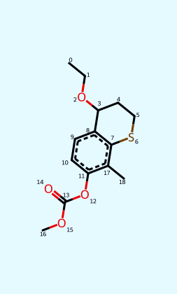 CCOC1CCSc2c1ccc(OC(=O)OC)c2C